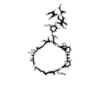 CO[C@H]1C[C@@H]2CC[C@@H](C)[C@@](O)(O2)C(=O)C(=O)N2CCCC[C@H]2C(=O)O[C@H]([C@H](C)C[C@@H]2CC[C@@H](OC(=O)C(C)(COC(=O)CI)COC(=O)CI)[C@H](OC)C2)CC(=O)[C@H](C)/C=C(\C)[C@@H](O)[C@@H](OC)C(=O)[C@H](C)C[C@H](C)/C=C/C=C/C=C/1C